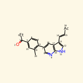 CCC(=O)c1ccc(-c2cnc3[nH]cc(/C=C/C(C)=O)c3c2)c(C)c1